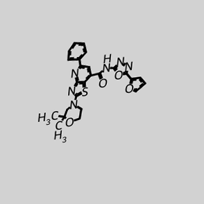 CC1(C)CN(c2nc3nc(-c4ccccc4)cc(C(=O)Nc4nnc(-c5ccco5)o4)c3s2)CCO1